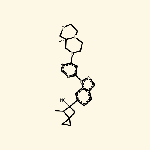 C[C@@H]1C2(CC2)C[C@]1(C#N)c1ccc2cnn(-c3cc(N4CCN5CCOC[C@@H]5C4)ncn3)c2c1